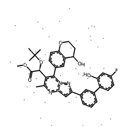 COC(=O)[C@@H](OC(C)(C)C)c1c(C)nc2cc(-c3cccc(-c4ccc(F)cc4O)c3)nn2c1-c1ccc2c(c1)C(O)CCO2